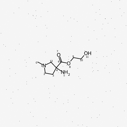 CN1CCC(N)(C(=O)OCCO)C1